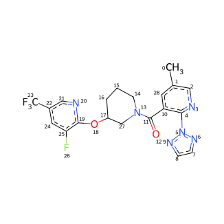 Cc1cnc(-n2nccn2)c(C(=O)N2CCCC(Oc3ncc(C(F)(F)F)cc3F)C2)c1